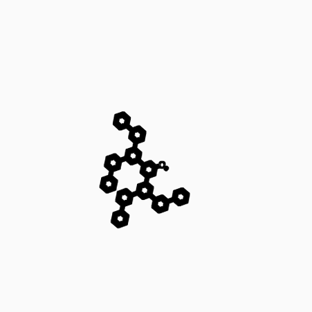 COc1cc(-c2cc(-c3cccc(-c4ccccc4)c3)cc(-c3cccc(-c4ccccc4)c3)c2)cc(-c2cc(-c3cccc(-c4ccccc4)c3)cc(-c3cccc(-c4ccccc4)c3)c2)c1